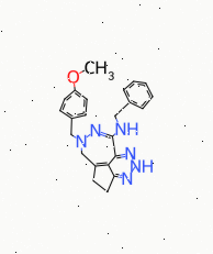 COc1ccc(CN2CC3=C4C(=NNN=C4C(NCc4ccccc4)=N2)CC3)cc1